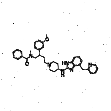 COc1cccc(C(CCN2CCC(Nc3nc4c(Cc5ccccn5)cccc4[nH]3)CC2)CN(C)C(=O)c2ccccc2)c1